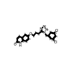 O=c1ccc2cc(OCCCc3nnnn3Cc3cc(Cl)cc(Cl)c3)ccc2[nH]1